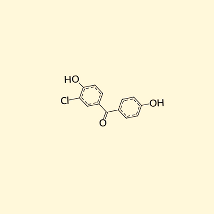 O=C(c1ccc(O)cc1)c1ccc(O)c(Cl)c1